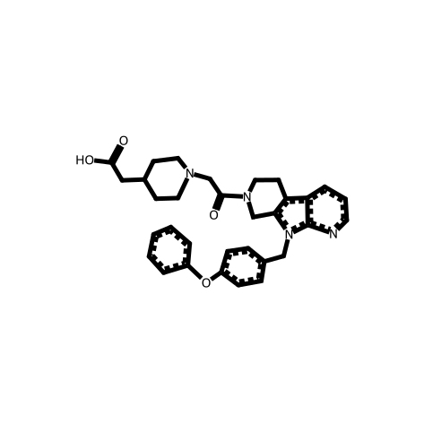 O=C(O)CC1CCN(CC(=O)N2CCc3c(n(Cc4ccc(Oc5ccccc5)cc4)c4ncccc34)C2)CC1